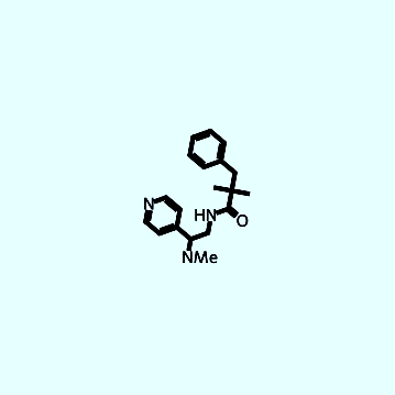 CNC(CNC(=O)C(C)(C)Cc1ccccc1)c1ccncc1